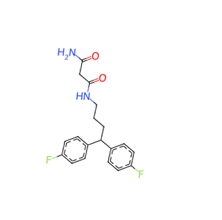 NC(=O)CC(=O)NCCCC(c1ccc(F)cc1)c1ccc(F)cc1